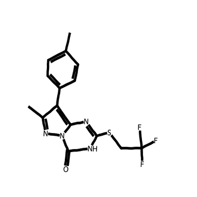 Cc1ccc(-c2c(C)nn3c(=O)[nH]c(SCC(F)(F)F)nc23)cc1